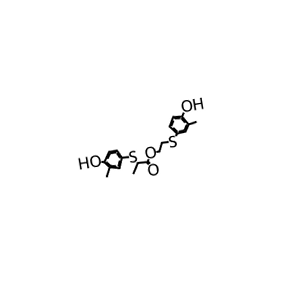 Cc1cc(SCCOC(=O)C(C)Sc2ccc(O)c(C)c2)ccc1O